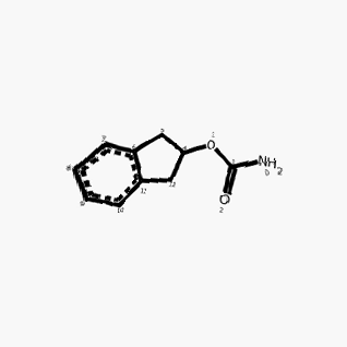 NC(=O)OC1Cc2ccccc2C1